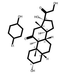 CCC1CCC(O)CC1.C[C@]12CC[C@@H](O)C[C@H]1CC[C@@H]1[C@@H]2C(=O)C[C@@]2(C)[C@H]1CC[C@]2(O)C(=O)CO